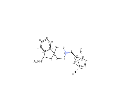 CC(=O)NC1CC2(CCN(C[C@@H]3C[C@@H]4C=C[C@H]3C4)CC2)c2ccccc21